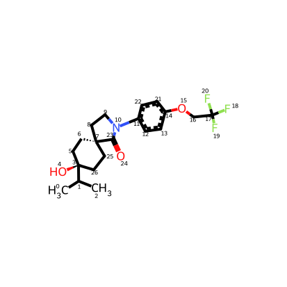 CC(C)[C@]1(O)CC[C@@]2(CCN(c3ccc(OCC(F)(F)F)cc3)C2=O)CC1